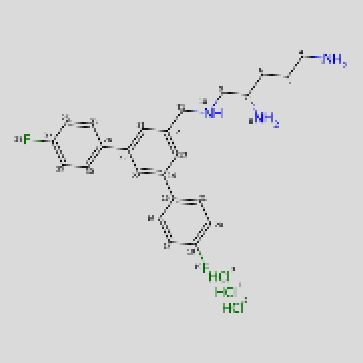 Cl.Cl.Cl.NCCC[C@H](N)CNCc1cc(-c2ccc(F)cc2)cc(-c2ccc(F)cc2)c1